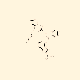 COCCNCc1ccccc1NC(=O)OCC(Oc1cccc2sc(C(=N)N)cc12)c1ccccc1